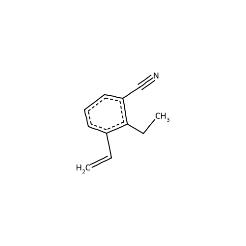 C=Cc1cccc(C#N)c1CC